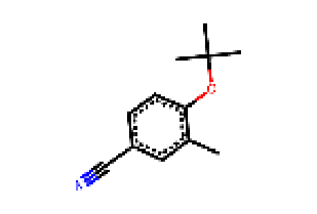 Cc1cc(C#N)ccc1OC(C)(C)C